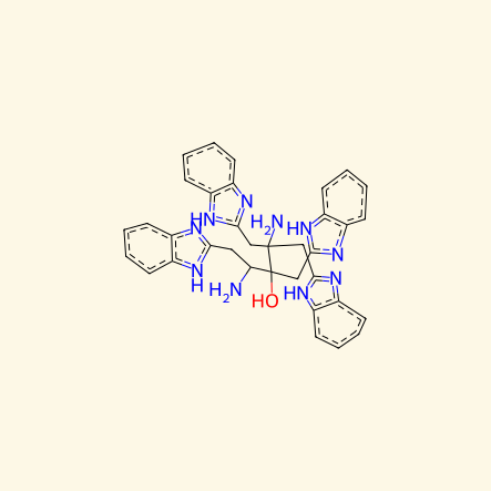 NC(Cc1nc2ccccc2[nH]1)C(O)(Cc1nc2ccccc2[nH]1)C(N)(Cc1nc2ccccc2[nH]1)Cc1nc2ccccc2[nH]1